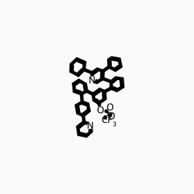 O=S(=O)(Oc1cc(-c2ccccc2-c2ccc(-c3ccccn3)cc2)cc(-c2ccccc2-c2cnc(-c3ccccc3)cc2-c2ccccc2)c1)C(F)(F)F